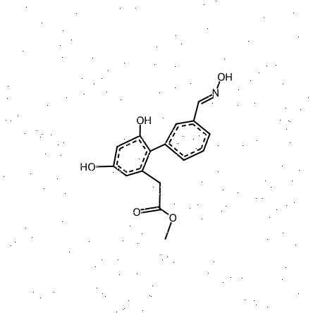 COC(=O)Cc1cc(O)cc(O)c1-c1cccc(C=NO)c1